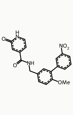 COc1ccc(CNC(=O)c2cc[nH]c(=O)c2)cc1-c1cccc([N+](=O)[O-])c1